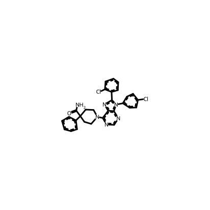 NC(=O)C1(c2ccccc2)CCN(c2ncnc3c2nc(-c2ccccc2Cl)n3-c2ccc(Cl)cc2)CC1